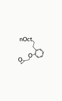 CCCCCCCCCCc1ccccc1OCC1CO1